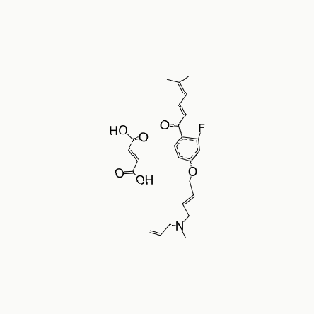 C=CCN(C)CC=CCOc1ccc(C(=O)C=CC=C(C)C)c(F)c1.O=C(O)C=CC(=O)O